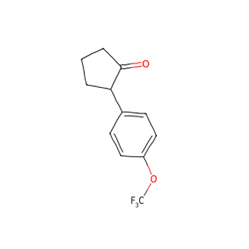 O=C1CCCC1c1ccc(OC(F)(F)F)cc1